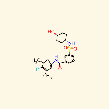 CC1=C(F)C(C)CC(NC(=O)c2cccc(S(=O)(=O)N[C@H]3CC[C@H](O)CC3)c2)=C1